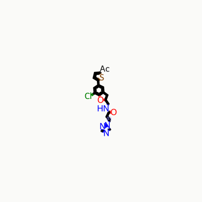 CC(=O)c1ccc(-c2cc(Cl)c3c(c2)CC(CNC(=O)/C=C/n2cncn2)O3)s1